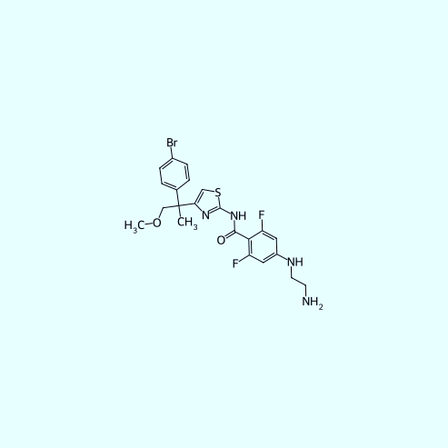 COCC(C)(c1ccc(Br)cc1)c1csc(NC(=O)c2c(F)cc(NCCN)cc2F)n1